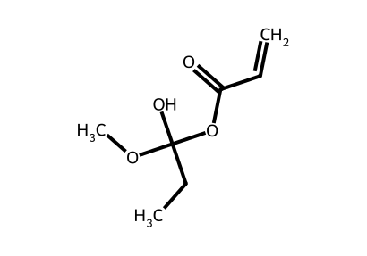 C=CC(=O)OC(O)(CC)OC